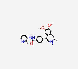 COc1cc2c(cc1OC)C(c1ccc(C(=O)Nc3cccnc3C)cc1)=CN(C)C(C)C2